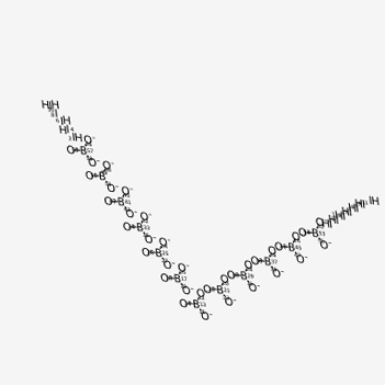 I.I.I.I.I.I.I.I.I.I.I.I.[O-]B([O-])[O-].[O-]B([O-])[O-].[O-]B([O-])[O-].[O-]B([O-])[O-].[O-]B([O-])[O-].[O-]B([O-])[O-].[O-]B([O-])[O-].[O-]B([O-])[O-].[O-]B([O-])[O-].[O-]B([O-])[O-].[O-]B([O-])[O-].[O-]B([O-])[O-]